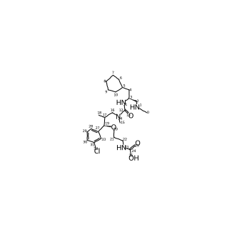 CNC[C@H](CC1CCCCC1)NC(=O)N(C)CC(C)[C@@H](OCCNC(=O)O)c1cccc(Cl)c1